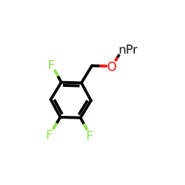 CCCOCc1cc(F)c(F)cc1F